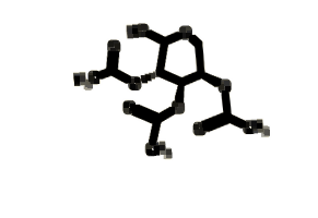 CC(=O)O[C@H]1[C@H](OC(C)=O)C(O)OC[C@H]1OC(C)=O